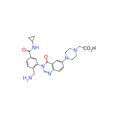 NCc1ccc(C(=O)NC2CC2)cc1-n1cnc2ccc(N3CCN(CC(=O)O)CC3)cc2c1=O